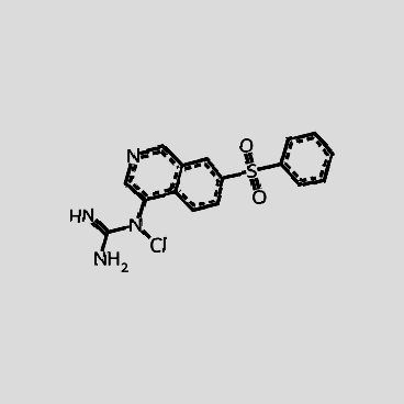 N=C(N)N(Cl)c1cncc2cc(S(=O)(=O)c3ccccc3)ccc12